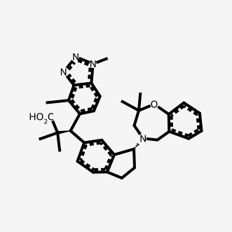 Cc1c([C@@H](c2ccc3c(c2)[C@H](N2Cc4ccccc4OC(C)(C)C2)CC3)C(C)(C)C(=O)O)ccc2c1nnn2C